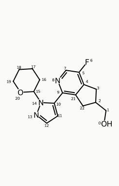 OCC1Cc2c(F)cnc(-c3ccnn3C3CCCCO3)c2C1